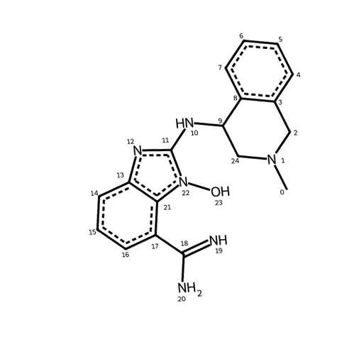 CN1Cc2ccccc2C(Nc2nc3cccc(C(=N)N)c3n2O)C1